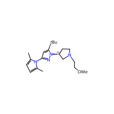 COCCN1CC[C@H](n2nc(-n3c(C)ccc3C)cc2C(C)(C)C)C1